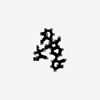 O=C(O)C(F)(F)F.O=C1NCCCC1c1ccc2c(c1)C(=O)N(C1CCCNC1=O)C2=O